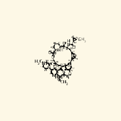 CO[C@@H](C)c1ncc(N2CCN(C)CC2)cc1-c1c2c3cc(cc4c3n1C(C)CO4)-c1csc(n1)C[C@H](NC(=O)[C@H]1C[C@@H]1C)C(=O)N1CCC[C@H](N1)C(=O)OCC(C)(C)C2